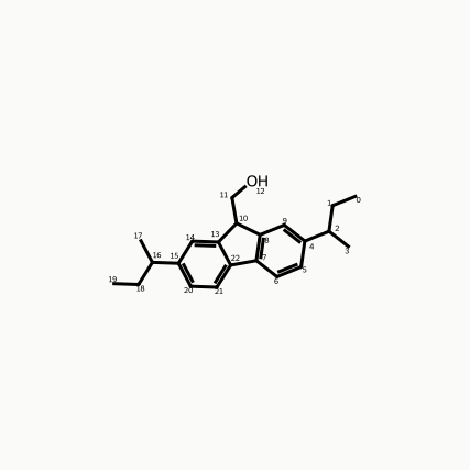 CCC(C)c1ccc2c(c1)C(CO)c1cc(C(C)CC)ccc1-2